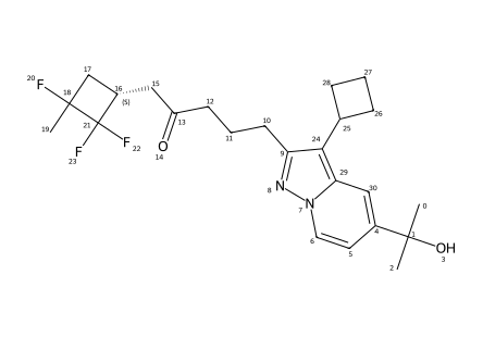 CC(C)(O)c1ccn2nc(CCCC(=O)C[C@H]3CC(C)(F)C3(F)F)c(C3CCC3)c2c1